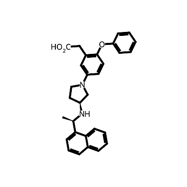 C[C@@H](N[C@H]1CCN(c2ccc(Oc3ccccc3)c(CC(=O)O)c2)C1)c1cccc2ccccc12